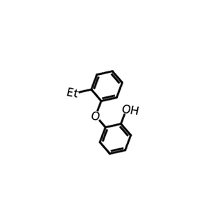 CCc1ccccc1Oc1ccccc1O